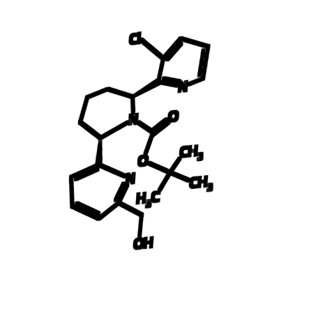 CC(C)(C)OC(=O)N1[C@@H](c2cccc(CO)n2)CCC[C@H]1c1ncccc1Cl